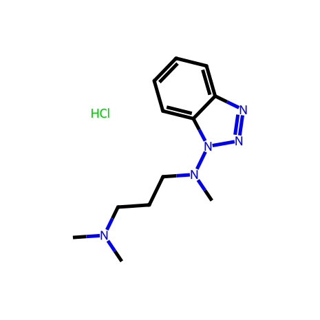 CN(C)CCCN(C)n1nnc2ccccc21.Cl